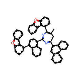 CC1=C(c2cccc3oc4ccccc4c23)N=C(c2ccc(-c3cccc4oc5ccccc5c34)c3ccccc23)N=C(c2cc3ccccc3c3ccccc23)C1